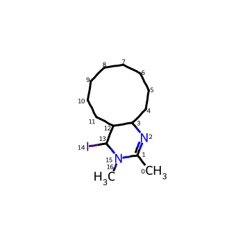 CC1=NC2CCCCCCCCC2C(I)N1C